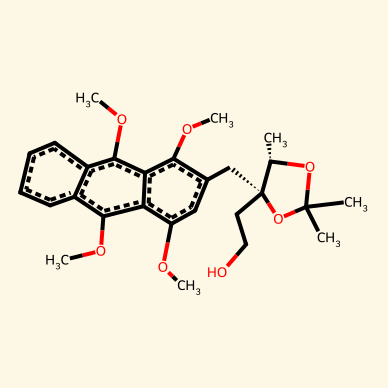 COc1cc(C[C@@]2(CCO)OC(C)(C)O[C@H]2C)c(OC)c2c(OC)c3ccccc3c(OC)c12